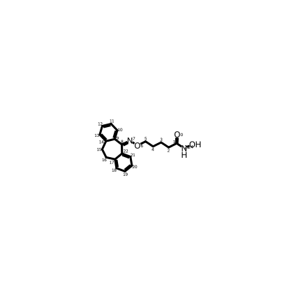 O=C(CCCCON=C1c2ccccc2CCc2ccccc21)NO